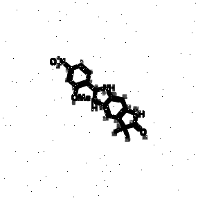 COc1cc([N+](=O)[O-])ccc1C1Nc2cc3c(cc2N1)C(C)(C)C(=O)N3